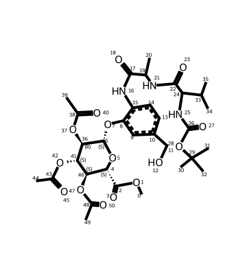 COC(=O)[C@H]1O[C@@H](Oc2cc(CO)ccc2NC(=O)C(C)NC(=O)C(NC(=O)OC(C)(C)C)C(C)C)[C@H](OC(C)=O)[C@@H](OC(C)=O)[C@@H]1OC(C)=O